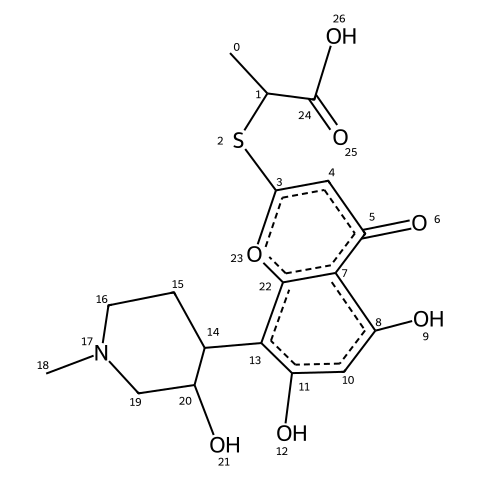 CC(Sc1cc(=O)c2c(O)cc(O)c(C3CCN(C)CC3O)c2o1)C(=O)O